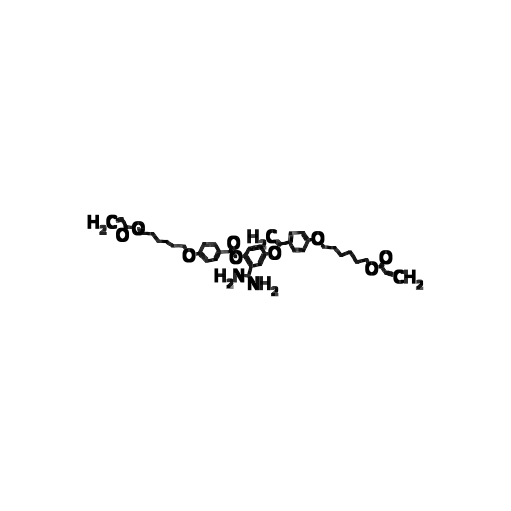 C=CC(=O)OCCCCCCOc1ccc(C(=C)Oc2ccc(OC(=O)c3ccc(OCCCCCCOC(=O)C=C)cc3)c(C(N)N)c2)cc1